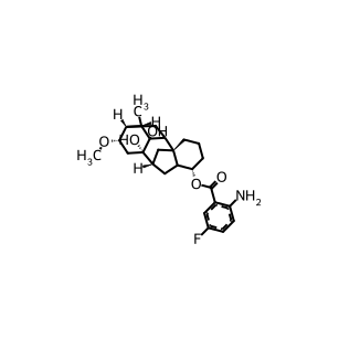 CO[C@H]1C[C@]2(O)[C@H]3CC4[C@@H](OC(=O)c5cc(F)ccc5N)CCC[C@@]4(C3)C3C[C@H]1[C@H](C)[C@@]32O